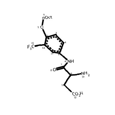 CCCCCCCCOc1ccc(NC(=O)C(N)CC(=O)O)cc1C(F)(F)F